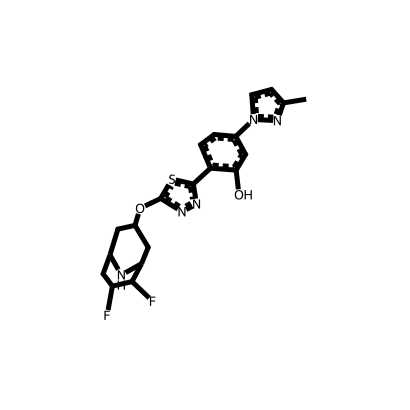 Cc1ccn(-c2ccc(-c3nnc(OC4CC5CC(F)C(F)C(C4)N5)s3)c(O)c2)n1